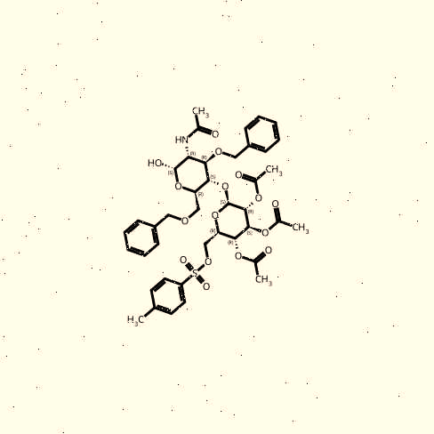 CC(=O)N[C@@H]1[C@@H](OCc2ccccc2)[C@H](O[C@@H]2O[C@H](COS(=O)(=O)c3ccc(C)cc3)[C@@H](OC(C)=O)[C@H](OC(C)=O)[C@H]2OC(C)=O)[C@@H](COCc2ccccc2)O[C@@H]1O